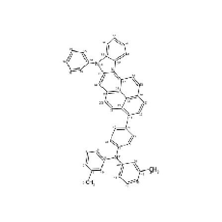 Cc1cccc(N(c2ccc(-c3ccc4ccc5c6c(ccc3c46)cc3c5c4ccccc4n3-c3ccccc3)cc2)c2cccc(C)c2)c1